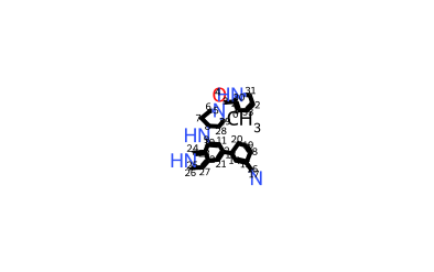 CC1=C(C(=O)N2CCC(Nc3cc(C4C=C(C#N)C=CC4)cc4c3=CNCC=4)CC2)NCC=C1